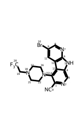 N#Cc1ncc2[nH]c3ncc(Br)cc3c2c1N1CCN(CC(F)(F)F)CC1